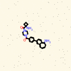 NC1=c2ccc(-c3ccc(C(=O)N4CCN(C(=O)C5(N)CCC5)CC4)cc3)cc2=CC=CC1